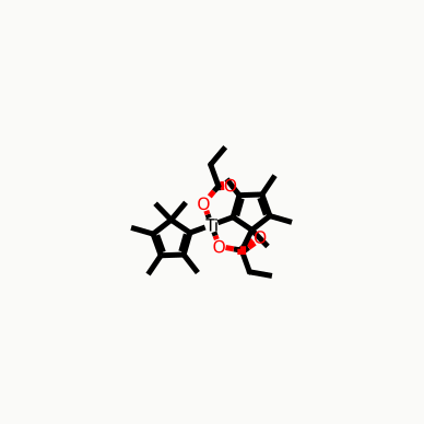 CCC(=O)[O][Ti]([O]C(=O)CC)([C]1=C(C)C(C)=C(C)C1(C)C)[C]1=C(C)C(C)=C(C)C1(C)C